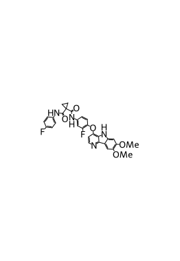 COc1cc2[nH]c3c(Oc4ccc(NC(=O)C5(C(=O)Nc6ccc(F)cc6)CC5)cc4F)ccnc3c2cc1OC